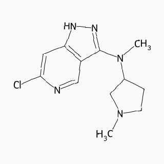 CN1CCC(N(C)c2n[nH]c3cc(Cl)ncc23)C1